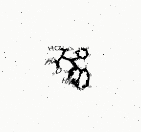 O=C(O)C(C(=O)O)C(c1cccnc1)c1c[nH]c2ncccc12